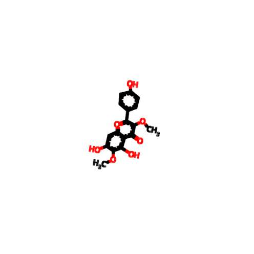 COc1c(O)cc2oc(-c3ccc(O)cc3)c(OC)c(=O)c2c1O